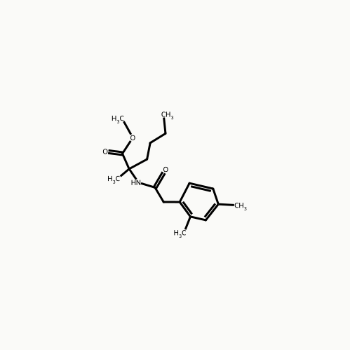 CCCCC(C)(NC(=O)Cc1ccc(C)cc1C)C(=O)OC